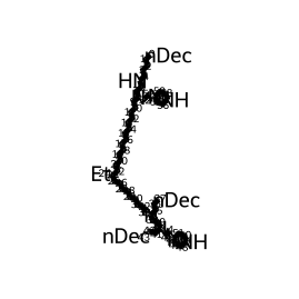 CCCCCCCCCCCCCCNCCN(CCCCCCCCCCCCCCC(CC)CCCCCCCCCN(CCCCCCCCCCCC)CCN(CCCCCCCCCCCC)CCN1CCNCC1)CCN1CCNCC1